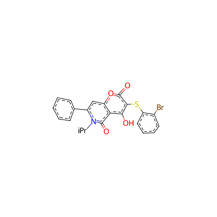 CC(C)n1c(-c2ccccc2)cc2oc(=O)c(Sc3ccccc3Br)c(O)c2c1=O